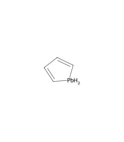 C1=[CH][PbH2][CH]=C1